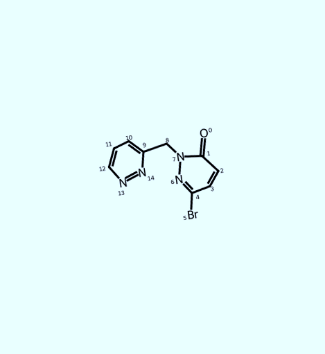 O=c1ccc(Br)nn1Cc1cccnn1